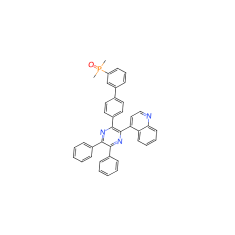 CP(C)(=O)c1cccc(-c2ccc(-c3nc(-c4ccccc4)c(-c4ccccc4)nc3-c3ccnc4ccccc34)cc2)c1